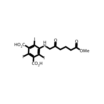 COC(=O)CCCC(=O)CNc1c(I)c(C(=O)O)c(I)c(C(=O)O)c1I